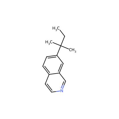 CCC(C)(C)c1ccc2ccncc2c1